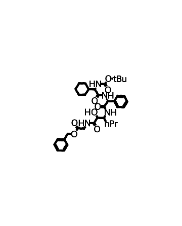 CCCC(NC(=O)[C@@H](NC(=O)[C@@H](NC(=O)OC(C)(C)C)C1CCCCC1)c1ccccc1)C(O)C(=O)NCC(=O)OCc1ccccc1